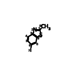 Cc1nc2ccc(I)cc2s1